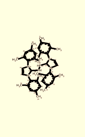 Cc1cc(C)c(N2C=CN(c3c(C)cc(C)cc3C)C2PPC2N(c3c(C)cc(C)cc3C)C=CN2c2c(C)cc(C)cc2C)c(C)c1